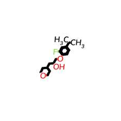 CC(C)c1ccc(OCC(O)CC2CCOCC2)c(F)c1